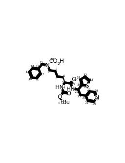 CC(C)(C)OC(=O)N[C@@H](CCCCN(Cc1ccccc1)C(=O)O)C(=O)NC(Cc1ccncc1)c1cccs1